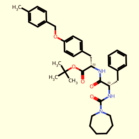 Cc1ccc(COc2ccc(C[C@H](NC(=O)[C@H](Cc3ccccc3)NC(=O)N3CCCCCC3)C(=O)OC(C)(C)C)cc2)cc1